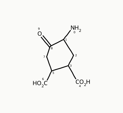 NC1CC(C(=O)O)C(C(=O)O)CC1=O